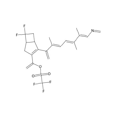 C=N/C=C(C)/C(C)=C/C=C(\C)C(=C)C1=C(C(=C)OS(=O)(=O)C(F)(F)F)CC2C1CC2(F)F